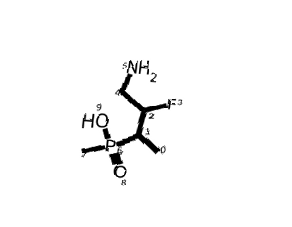 CC(C(F)CN)P(C)(=O)O